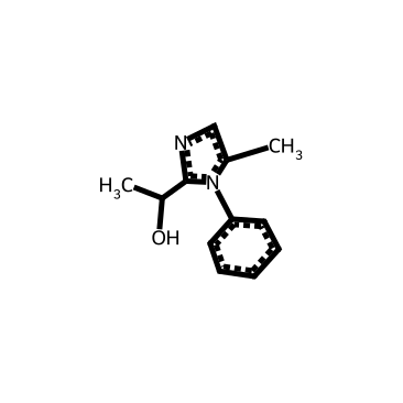 Cc1cnc(C(C)O)n1-c1ccccc1